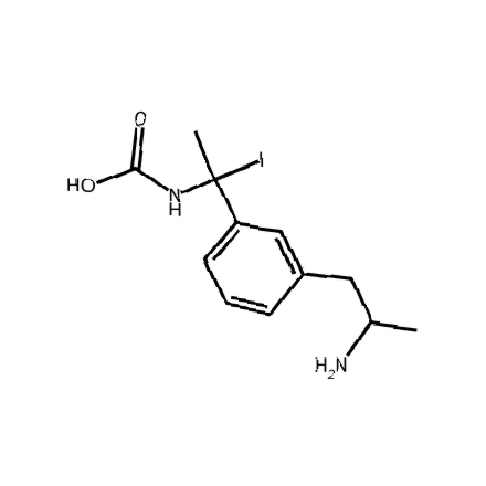 CC(N)Cc1cccc(C(C)(I)NC(=O)O)c1